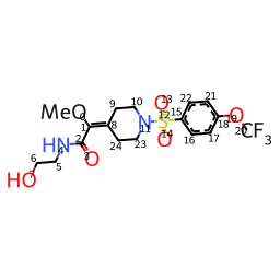 COC(C(=O)NCCO)=C1CCN(S(=O)(=O)c2ccc(OC(F)(F)F)cc2)CC1